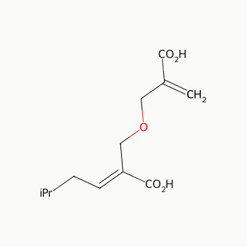 C=C(COCC(=CCC(C)C)C(=O)O)C(=O)O